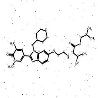 Cc1cc(-c2nc3ccc(OCCN[C@H](C(=O)OCC(C)C)C(C)O)cc3n2CC2CCOCC2)cn(C)c1=O